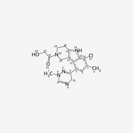 Cc1cc(C2=NN(C)C=NC2)c2c3c([nH]c2c1Cl)CCN(C(=O)CO)C3